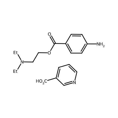 CCN(CC)CCOC(=O)c1ccc(N)cc1.O=C(O)c1cccnc1